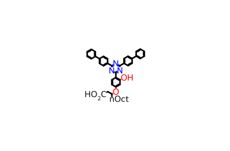 CCCCCCCCC(CC(=O)O)Oc1ccc(-c2nc(-c3ccc(-c4ccccc4)cc3)nc(-c3ccc(-c4ccccc4)cc3)n2)c(O)c1